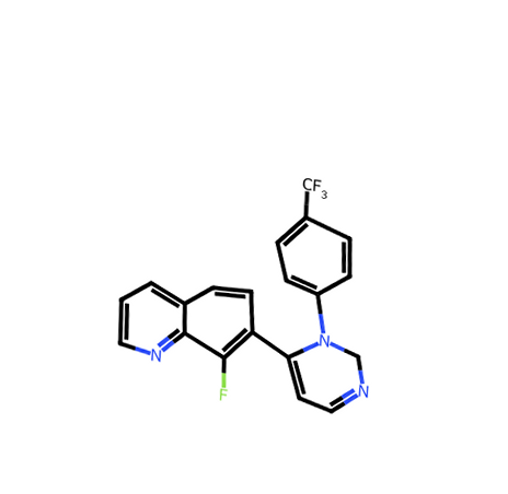 Fc1c(C2=CC=NCN2c2ccc(C(F)(F)F)cc2)ccc2cccnc12